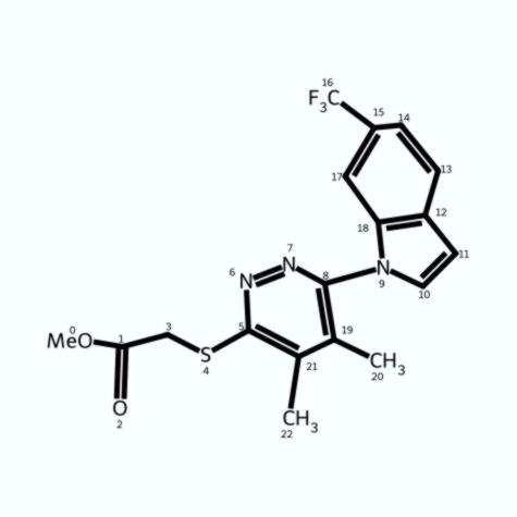 COC(=O)CSc1nnc(-n2ccc3ccc(C(F)(F)F)cc32)c(C)c1C